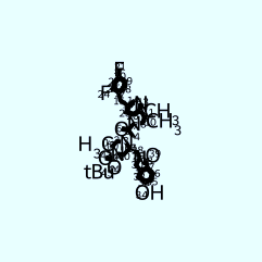 C[C@@H]1CN(CC(=O)N2CC(C)(C)c3ncc(Cc4ccc(F)cc4F)cc32)[C@@H](CN2Cc3cc(O)ccc3C2=O)CN1C(=O)OC(C)(C)C